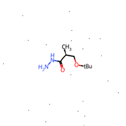 C[C@@H](COC(C)(C)C)C(=O)NN